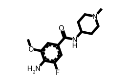 COc1cc(C(=O)NC2CCN(C)CC2)cc(F)c1N